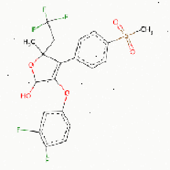 CC1(CC(F)(F)F)OC(O)C(Oc2ccc(F)c(F)c2)=C1c1ccc(S(C)(=O)=O)cc1